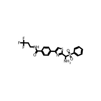 NC(c1nc(-c2ccc(C(=O)NCCC(F)(F)F)cc2)cs1)S(=O)(=O)c1ccccc1